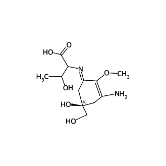 COC1=C(N)C[C@](O)(CO)CC1=NC(C(=O)O)C(C)O